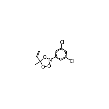 C=CC1(C)OON(c2cc(Cl)cc(Cl)c2)O1